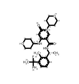 Cc1c([C@@H](C)NC(=O)c2cn(C3CCOCC3)c(=O)cc2NC2CCOCC2)cccc1C(C)(F)P